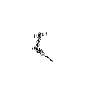 CCCCCCCCCCCCOC[C@H](CSC[C@H](C)C(=O)NCCOCCOCCOCCP(=O)(O)O)OC(C)=O